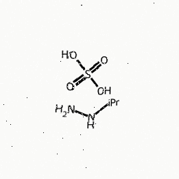 CC(C)NN.O=S(=O)(O)O